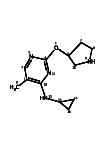 Cc1cnc(OC2CCNC2)nc1NC1CC1